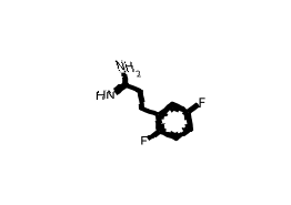 N=C(N)CCc1cc(F)ccc1F